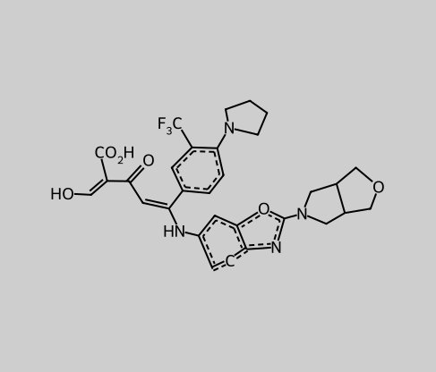 O=C(O)C(=CO)C(=O)C=C(Nc1ccc2nc(N3CC4COCC4C3)oc2c1)c1ccc(N2CCCC2)c(C(F)(F)F)c1